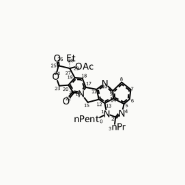 CCCCCN1C(CCC)=Nc2cccc3nc4c(c1c23)Cn1c-4cc2c(c1=O)COC(=O)[C@@]2(CC)OC(C)=O